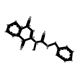 CN(C(=O)OCc1ccccc1)C1=CC(=O)c2ccccc2C1=O